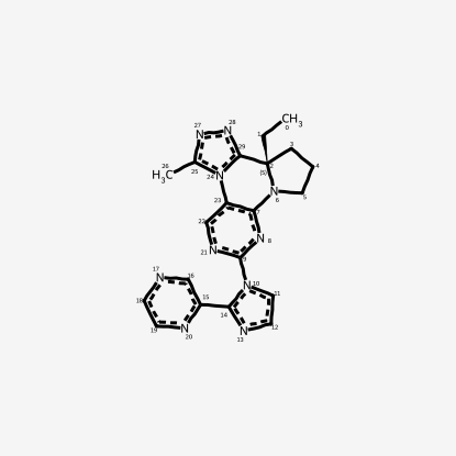 CC[C@@]12CCCN1c1nc(-n3ccnc3-c3cnccn3)ncc1-n1c(C)nnc12